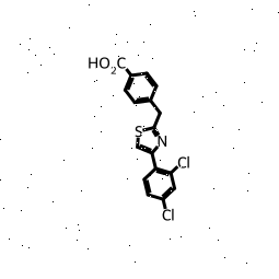 O=C(O)c1ccc(Cc2nc(-c3ccc(Cl)cc3Cl)cs2)cc1